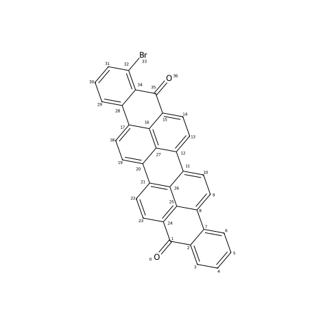 O=C1c2ccccc2-c2ccc3c4ccc5c6c(ccc(c7ccc1c2c37)c64)-c1cccc(Br)c1C5=O